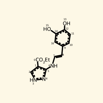 CCOC(=O)c1c[nH]nc1NC=Cc1ccc(O)c(O)c1